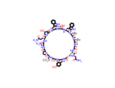 CCCC[C@H]1C(=O)N(C)[C@@H](CCCC)C(=O)N[C@@H](C)C(=O)N[C@H](C(=O)NCC(N)=O)CSCC(=O)N[C@@H](Cc2ccc(O)cc2)C(=O)N(C)[C@@H](C)C(=O)N[C@@H](CC(=O)O)C(=O)N2CCCC2C(=O)N[C@@H](CN)C(=O)N[C@@H](CCC(N)=O)C(=O)N2C[C@H](O)C[C@H]2C(=O)N[C@@H](Cc2c[nH]c3ccccc23)C(=O)N[C@@H](CO)C(=O)N[C@@H](Cc2c[nH]c3ccccc23)C(=O)N1C